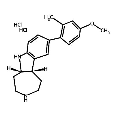 COc1ccc(-c2ccc3c(c2)[C@@H]2CCNCC[C@@H]2N3)c(C)c1.Cl.Cl